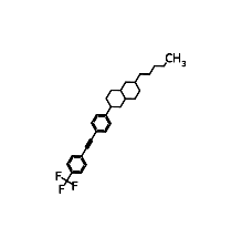 CCCCCC1CCC2CC(c3ccc(C#Cc4ccc(C(F)(F)F)cc4)cc3)CCC2C1